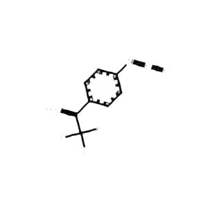 C=C(c1ccc(N=C=O)cc1)C(F)(F)F